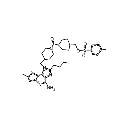 CCCCc1nc2c(N)nc3cc(C)sc3c2n1CC1CCN(C(=O)C2CCC(COS(=O)(=O)c3ccc(C)cc3)CC2)CC1